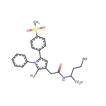 Cc1c(CC(=O)NC(CCN=O)C(=O)O)cc(-c2ccc(S(C)(=O)=O)cc2)n1-c1ccccc1